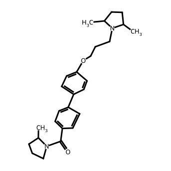 CC1CCCN1C(=O)c1ccc(-c2ccc(OCCCN3C(C)CCC3C)cc2)cc1